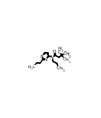 CCCc1nccc(N(CCC)C(=O)CC(C)(C)C)n1